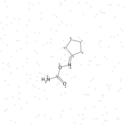 NC(=O)ON=C1CCCC1